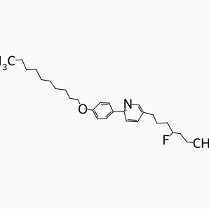 CCCCCCCCCCOc1ccc(-c2ccc(CCCC(F)CCC)cn2)cc1